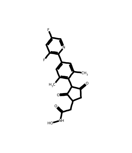 Cc1cc(-c2ncc(F)cc2F)cc(C)c1C1C(=O)CC(CC(=O)NO)C1=O